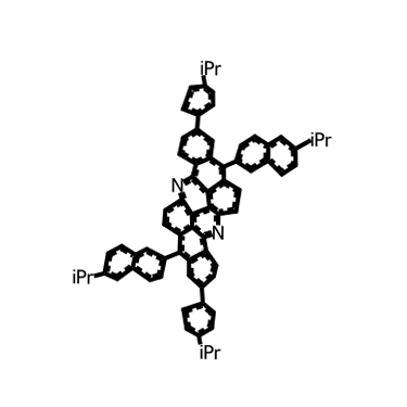 CC(C)c1ccc(-c2ccc3c(c2)c(-c2ccc4cc(C(C)C)ccc4c2)c2ccc4nc5c6ccc(-c7ccc(C(C)C)cc7)cc6c(-c6ccc7cc(C(C)C)ccc7c6)c6ccc7nc3c2c4c7c65)cc1